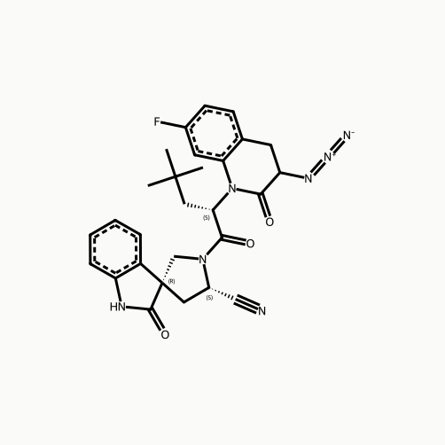 CC(C)(C)C[C@@H](C(=O)N1C[C@]2(C[C@H]1C#N)C(=O)Nc1ccccc12)N1C(=O)C(N=[N+]=[N-])Cc2ccc(F)cc21